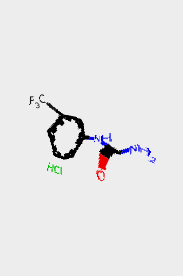 Cl.NC(=O)Nc1cccc(C(F)(F)F)c1